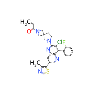 C=CC(=O)N1CC2(CCN(c3nc4cc(-c5scnc5C)cnc4c(-c4ccccc4F)c3Cl)C2)C1